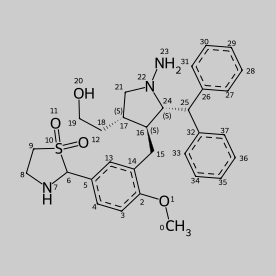 COc1ccc(C2NCCS2(=O)=O)cc1C[C@H]1[C@H](CCO)CN(N)[C@@H]1C(c1ccccc1)c1ccccc1